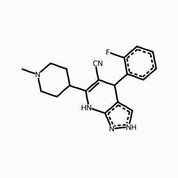 CN1CCC(C2=C(C#N)C(c3ccccc3F)c3c[nH]nc3N2)CC1